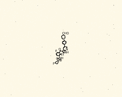 CCc1c(NS(=O)(=O)N2CC[C@@H](F)C2)ccc(F)c1C(=O)c1c[nH]c2ncc(-c3ccc(N4CCC(C=O)CC4)cc3)cc12